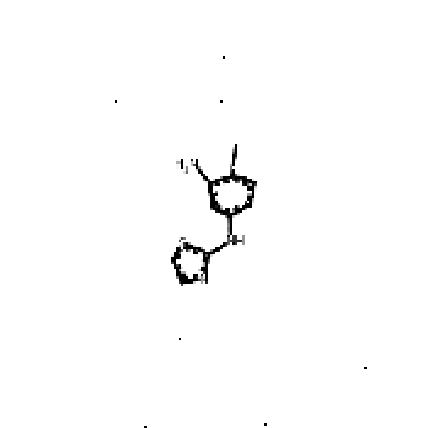 Cc1ccc(Nc2nccs2)cc1N